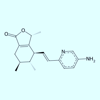 C[C@H]1[C@H](/C=C/c2ccc(N)cn2)C2=C(C[C@@H]1C)C(=O)O[C@@H]2C